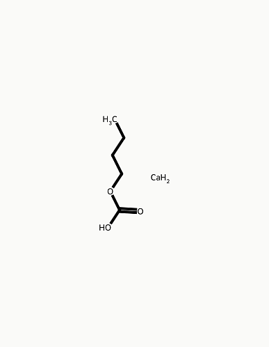 CCCCOC(=O)O.[CaH2]